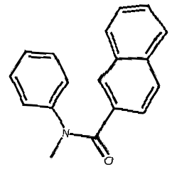 CN(C(=O)c1ccc2ccccc2c1)c1ccccc1